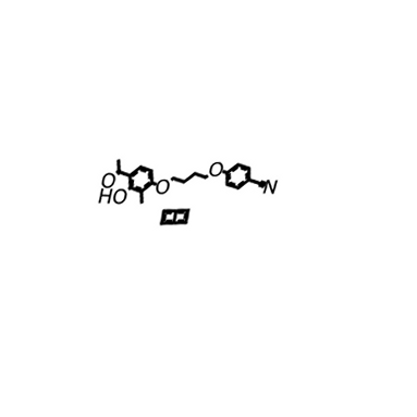 CC(=O)c1ccc(OCCCCOc2ccc(C#N)cc2)c(C)c1O.c1cc2ccc1-2